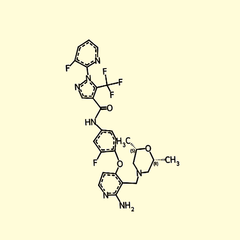 C[C@@H]1CN(Cc2c(Oc3ccc(NC(=O)c4cnn(-c5ncccc5F)c4C(F)(F)F)cc3F)ccnc2N)C[C@H](C)O1